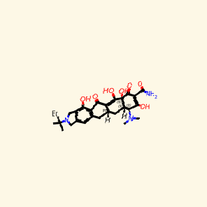 CCC(C)(C)N1Cc2cc3c(c(O)c2C1)C(=O)C1=C(O)[C@]2(O)C(=O)C(C(N)=O)=C(O)[C@@H](N(C)C)[C@@H]2C[C@@H]1C3